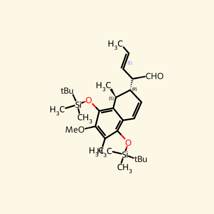 C/C=C/C(C=O)[C@@H]1C=Cc2c(O[Si](C)(C)C(C)(C)C)c(C)c(OC)c(O[Si](C)(C)C(C)(C)C)c2[C@H]1C